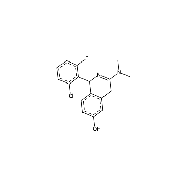 CN(C)C1=NC(c2c(F)cccc2Cl)c2ccc(O)cc2C1